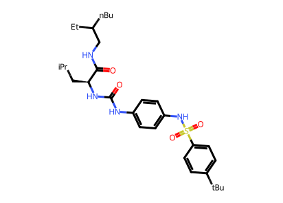 CCCCC(CC)CNC(=O)[C@H](CC(C)C)NC(=O)Nc1ccc(NS(=O)(=O)c2ccc(C(C)(C)C)cc2)cc1